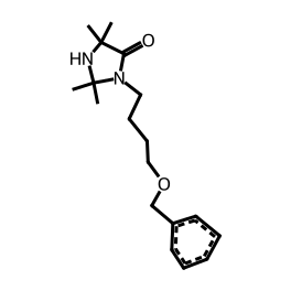 CC1(C)NC(C)(C)N(CCCCOCc2ccccc2)C1=O